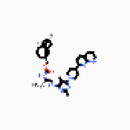 Cc1nc(NC[C@H](NC(=O)OC[C@]23CCC[C@H]4C[C@@H](CC4C2)C3)C(=O)O)c(C)c(N2CCC(c3ccc4c(n3)NCCC4)CC2)n1